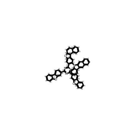 c1ccc2cc3c(cc2c1)c1ccccc1n3-c1cc2c(cc1-c1nc(-c3ccc4c(c3)oc3ccccc34)nc(-c3ccc4c(c3)oc3ccccc34)n1)oc1ccc3ccccc3c12